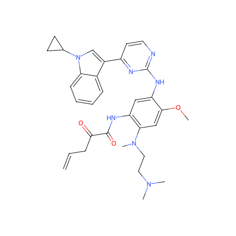 C=CCC(=O)C(=O)Nc1cc(Nc2nccc(-c3cn(C4CC4)c4ccccc34)n2)c(OC)cc1N(C)CCN(C)C